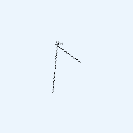 C=C(C(=O)O)C(CCCCCCCCCCCCCCCCCCCC)CCCCCCCCCCCCCCCCCCCCCCCCCCCCCCCCC